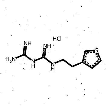 Cl.N=C(N)NC(=N)NCCc1ccsc1